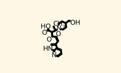 CCC1(N2CCC(CO)CC2)OC(=Cc2c[nH]c3ncccc23)C(=O)C1C(=O)O